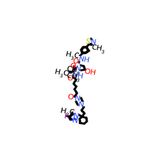 Cc1ncsc1-c1ccc([C@H](C)NC(=O)[C@@H]2C[C@@H](O)CN2C(=O)[C@@H](NC(=O)CCCCCC(=O)N2CCN(CCCC3(Cn4ncc(I)c4C)CCCCC3)CC2)C(C)(C)C)cc1